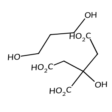 O=C(O)CC(O)(CC(=O)O)C(=O)O.OCCCO